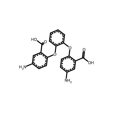 Nc1ccc(Oc2ccccc2Oc2ccc(N)cc2C(=O)O)c(C(=O)O)c1